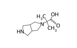 CC(C)(C(=O)O)N1CC2CNCC2C1